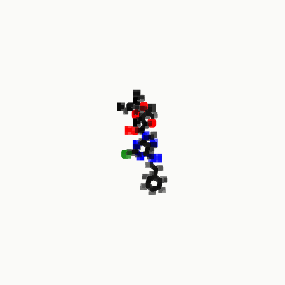 CC1(C)O[C@@H]2[C@@H](CO[C@H]2C(O)n2cnc3c(NCCc4ccccc4)nc(Cl)nc32)O1